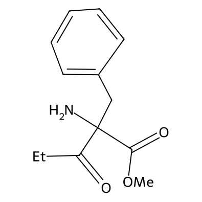 CCC(=O)C(N)(Cc1ccccc1)C(=O)OC